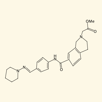 COC(=O)CN1CCc2ccc(C(=O)Nc3ccc(C=NN4CCCCC4)cc3)cc2C1